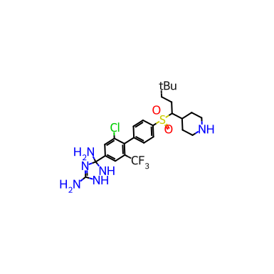 CC(C)(C)CCC(C1CCNCC1)S(=O)(=O)c1ccc(-c2c(Cl)cc(C3(N)N=C(N)NN3)cc2C(F)(F)F)cc1